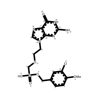 COc1ccc(COP(=O)(O)COCCn2cnc3c(=O)[nH]c(N)nc32)cc1Cl